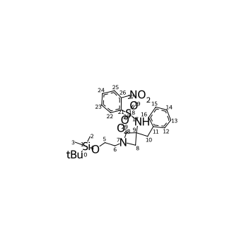 CC(C)(C)[Si](C)(C)OCCN1CC(Cc2ccccc2)(NS(=O)(=O)c2ccccc2[N+](=O)[O-])C1=O